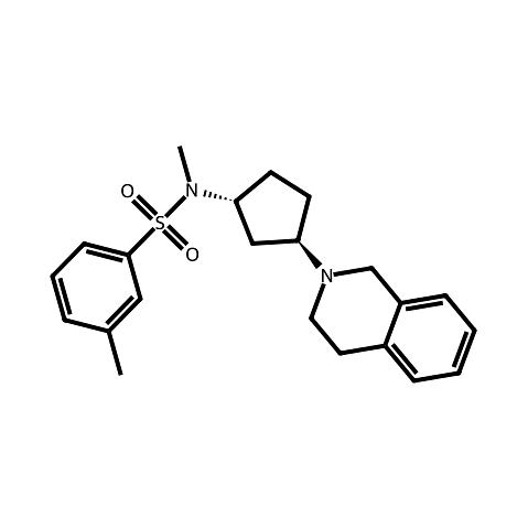 Cc1cccc(S(=O)(=O)N(C)[C@@H]2CC[C@@H](N3CCc4ccccc4C3)C2)c1